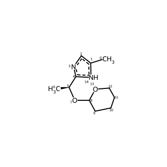 Cc1cnc([C@H](C)OC2CCCCO2)[nH]1